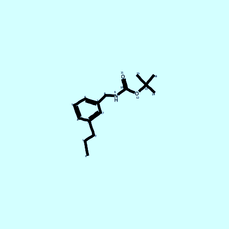 CCCc1cccc(CNC(=O)OC(C)(C)C)c1